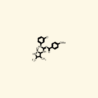 CCN1NC(C(F)(F)F)C(C)C1N/C(=N\C(=O)c1ccc(OC)cc1)Nc1cccc(Cl)c1